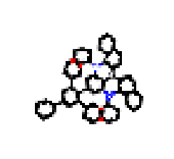 c1ccc(-c2cc(-c3ccccc3)c(-c3cc4c5c(c3)N(c3ccccc3)c3c(ccc6ccccc36)B5c3ccc5ccccc5c3N4c3ccccc3)c(-c3ccccc3)c2)cc1